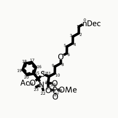 CCCCCCCCCCCCCCCCOCCCC1SC(OC(C)=O)(c2ccccc2)[N+](C)(C)C12OP(=O)(OC)O2